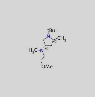 COCCN(C)[C@H]1C[C@H](C)N(C(C)(C)C)C1